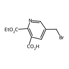 CCOC(=O)c1ncc(CBr)cc1C(=O)O